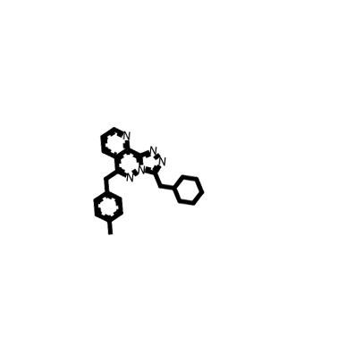 Cc1ccc(Cc2nn3c(CC4CCCCC4)nnc3c3ncccc23)cc1